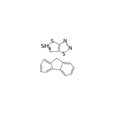 [SiH4].c1cc2snnc2s1.c1ccc2c(c1)Cc1ccccc1-2